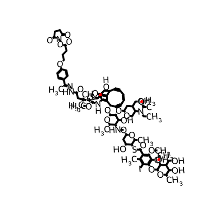 CCN(C(C)=O)C1COC(OC2C(O[C@H]3C#C/C=C\C#C[C@]4(O)CC(=O)C(NC(=O)OC)=C3/C4=C\CSSC(C)(C)CC(=O)N/N=C(\C)c3ccc(OCCCC(=O)ON4C(=O)CCC4=O)cc3)OC(C)C(NOC3CC(O)C(SC(=O)c4c(C)c(I)c(OC5OC(C)C(O)C(CO)C5O)c(OC)c4OC)C(C)O3)C2O)CC1CO